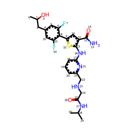 CC(O)Cc1cc(F)c(-c2cc(C(N)=O)c(Nc3cccc(CNCC(=O)NC(C)C)n3)s2)c(F)c1